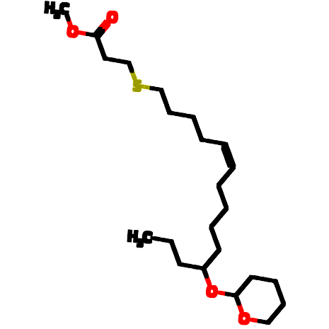 CCCC(CCCC/C=C\CCCCSCCC(=O)OC)OC1CCCCO1